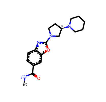 CCNC(=O)c1ccc2nc(N3CC[C@@H](N4CCCCC4)C3)oc2c1